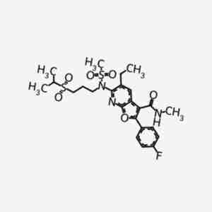 CCc1cc2c(C(=O)NC)c(-c3ccc(F)cc3)oc2nc1N(CCCS(=O)(=O)C(C)C)S(C)(=O)=O